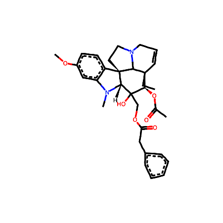 CCC12C=CCN3CC[C@@]4(c5ccc(OC)cc5N(C)[C@H]4C(O)(COC(=O)Cc4ccccc4)[C@@H]1OC(C)=O)C32